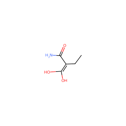 CCC(C(N)=O)=C(O)O